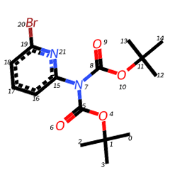 CC(C)(C)OC(=O)N(C(=O)OC(C)(C)C)c1cccc(Br)n1